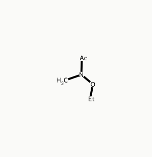 [CH2]C(=O)N(C)OCC